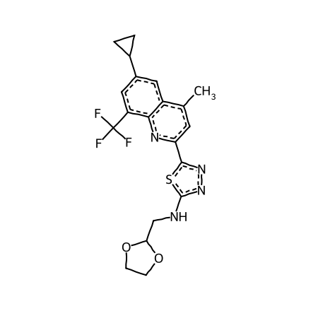 Cc1cc(-c2nnc(NCC3OCCO3)s2)nc2c(C(F)(F)F)cc(C3CC3)cc12